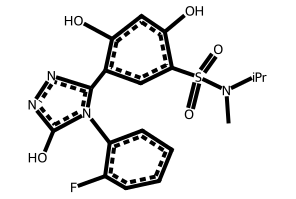 CC(C)N(C)S(=O)(=O)c1cc(-c2nnc(O)n2-c2ccccc2F)c(O)cc1O